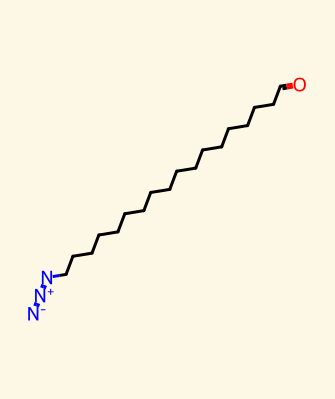 [N-]=[N+]=NCCCCCCCCCCCCCCCCCC=O